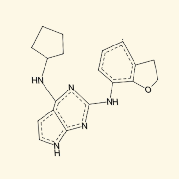 [c]1ccc(Nc2nc(NC3CCCC3)c3cc[nH]c3n2)c2c1CCO2